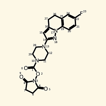 O=C(ON1C(=O)CCC1=O)N1CCN(c2cc3n(n2)-c2ccc(F)cc2CC3)CC1